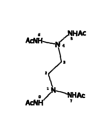 CC(=O)NN(CCN(NC(C)=O)NC(C)=O)NC(C)=O